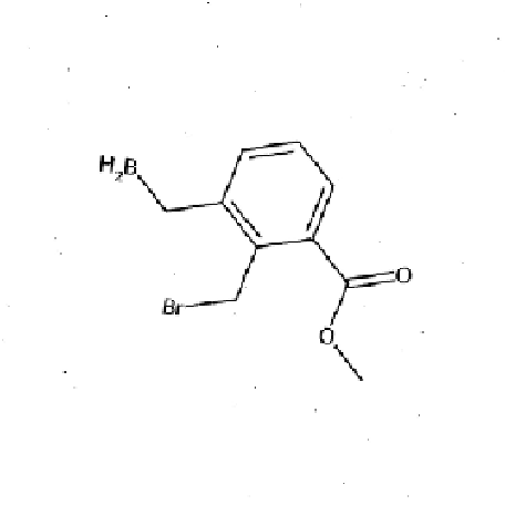 BCc1cccc(C(=O)OC)c1CBr